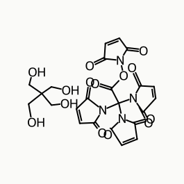 O=C1C=CC(=O)N1OC(=O)C(N1C(=O)C=CC1=O)(N1C(=O)C=CC1=O)N1C(=O)C=CC1=O.OCC(CO)(CO)CO